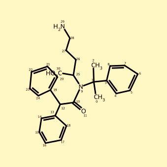 CC(C)(c1ccccc1)N(C(=O)C(c1ccccc1)c1ccccc1)C(CCCN)C(=O)O